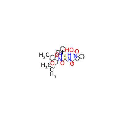 CCCCC(NC(=O)C(CNC(=O)c1cc2ccccc2n1CC(=O)O)SCc1ccccc1)c1c(OC)cc(C)cc1OC